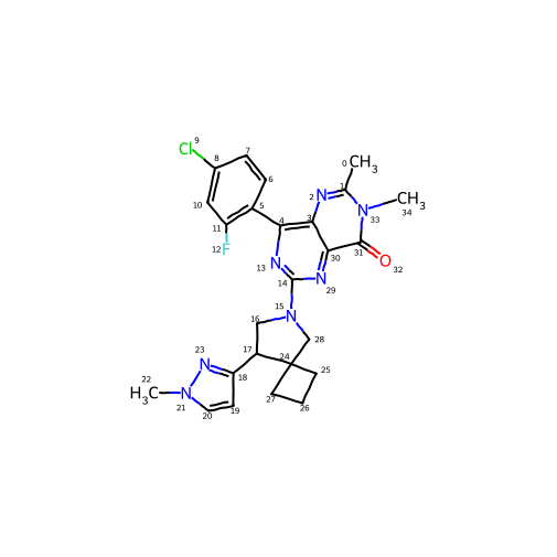 Cc1nc2c(-c3ccc(Cl)cc3F)nc(N3CC(c4ccn(C)n4)C4(CCC4)C3)nc2c(=O)n1C